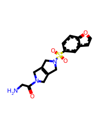 NCC(=O)N1CC2=C(C1)CN(S(=O)(=O)c1ccc3occc3c1)C2